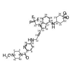 CN1CCN(C(=O)c2ccc(NCC#Cc3cc4c(NC5CCS(=O)(=O)CC5)cccc4n3CC(F)(F)F)cn2)CC1